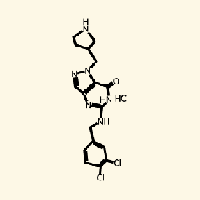 Cl.O=c1[nH]c(NCc2ccc(Cl)c(Cl)c2)nc2cnn(CC3CCNC3)c12